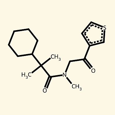 CN(CC(=O)c1ccsc1)C(=O)C(C)(C)C1CCCCC1